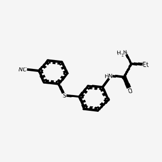 CCC(N)C(=O)Nc1cccc(Sc2cccc(C#N)c2)c1